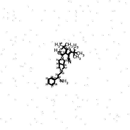 CC(C)(C)c1sc(C(C)(C)C)c(C(=O)N2CC3CN(CC[C@H](N)c4ccccc4)CC3C2)c1C#N